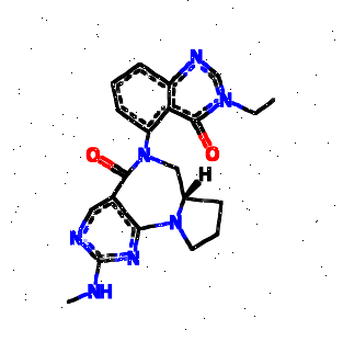 CCn1cnc2cccc(N3C[C@@H]4CCCN4c4nc(NC)ncc4C3=O)c2c1=O